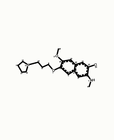 CNc1cc2cc(OCCCN3CCCC3)c(OC)cc2cc1Cl